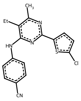 CCc1c(C)nc(-c2ccc(Cl)s2)nc1Nc1ccc(C#N)cc1